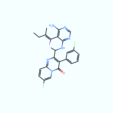 CC/C(C)=C(\I)c1c(N)ncnc1NC(C)c1nc2ccc(F)cn2c(=O)c1-c1cccc(F)c1